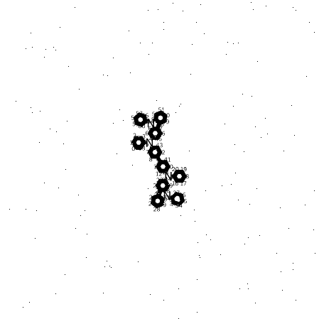 c1cccc(N(c2ccc(-c3ccc(N(c4ccccc4)c4ccc5c6ccccc6n(C6C=CC=CC6)c5c4)cc3)cc2)c2ccc3c4ccccc4n(-c4ccccc4)c3c2)c#1